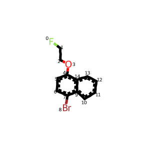 FCCOc1ccc(Br)c2ccccc12